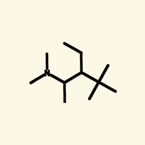 CCC(C(C)N(C)C)C(C)(C)C